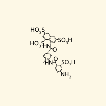 Cc1ccc(C(=O)Nc2cc(S(=O)(=O)O)cc3cc(S(=O)(=O)O)cc(S(=O)(=O)O)c23)cc1NC(=O)c1ccc(N)cc1S(=O)(=O)O